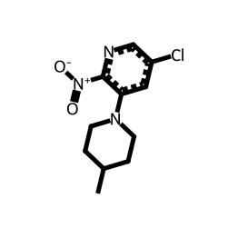 CC1CCN(c2cc(Cl)cnc2[N+](=O)[O-])CC1